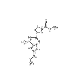 C[C@@H](NC(=O)[C@@H]1CCN(C(=O)OC(C)(C)C)C1)c1cnc(OCC(F)(F)F)s1